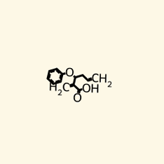 C=CCC(Oc1ccccc1)C(=C)C(=O)O